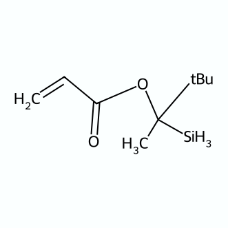 C=CC(=O)OC(C)([SiH3])C(C)(C)C